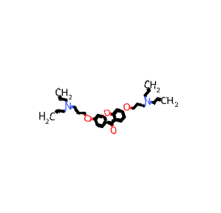 C=CCN(CC=C)CCCOc1ccc2c(=O)c3ccc(OCCCN(CC=C)CC=C)cc3oc2c1